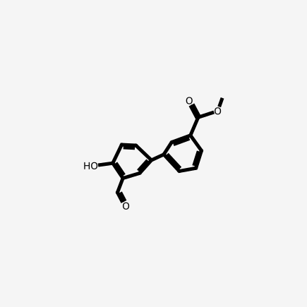 COC(=O)c1cccc(-c2ccc(O)c(C=O)c2)c1